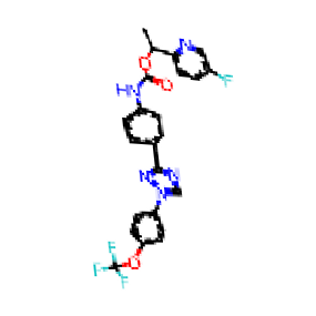 CC(OC(=O)Nc1ccc(-c2ncn(-c3ccc(OC(F)(F)F)cc3)n2)cc1)c1ccc(F)cn1